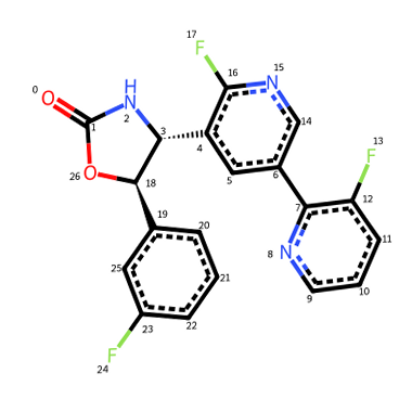 O=C1N[C@H](c2cc(-c3ncccc3F)cnc2F)[C@@H](c2cccc(F)c2)O1